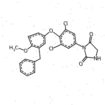 COc1ccc(Oc2c(Cl)cc(N3C(=O)CNC3=O)cc2Cl)cc1Cc1ccccc1